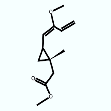 C=C/C(=C\C1C[C@@]1(C)CC(=O)OC)OC